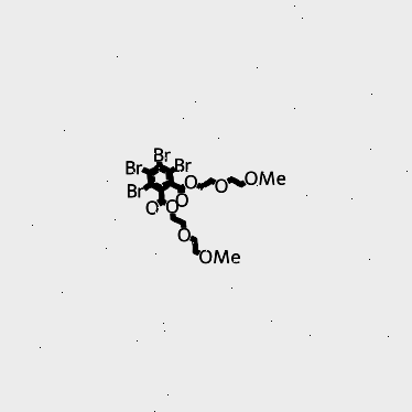 COCCOCCOC(=O)c1c(Br)c(Br)c(Br)c(Br)c1C(=O)OCCOCCOC